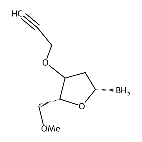 B[C@H]1CC(OCC#C)[C@@H](COC)O1